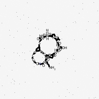 CC(C)C1NC(=O)[C@H](CC(=O)O)NC(=O)[C@H](C)NC(=O)[C@@H]2CCCN2C(=O)[C@@H]2CSCc3cc(cc(c3)OCCCCCCO/N=C/C(=O)N[C@@H](CCCCN)C(=O)N2)CSC[C@@H](C(N)=O)NC(=O)[C@H](CO)NC(=O)[C@@H]2CCCN2C1=O